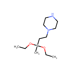 CCO[Si](C)(CCN1CCNCC1)OCC